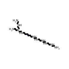 NCCNCCNCCNCCNCCNCC/C=C/CCNCCN(CCN)CCNCCN